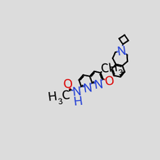 CC(=O)Nc1ccc2cc(C)c(Oc3ccc4c(c3)CCN(C3CCC3)CC4)nc2n1